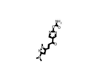 CN(C)c1cc(C=CC(=O)c2cnc(OC(N)=O)nc2)n(C)n1